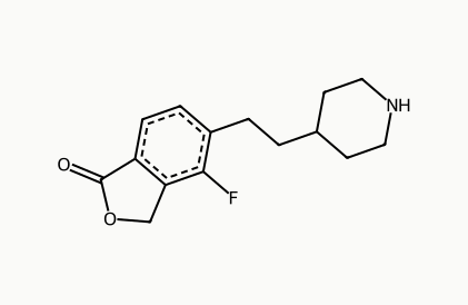 O=C1OCc2c1ccc(CCC1CCNCC1)c2F